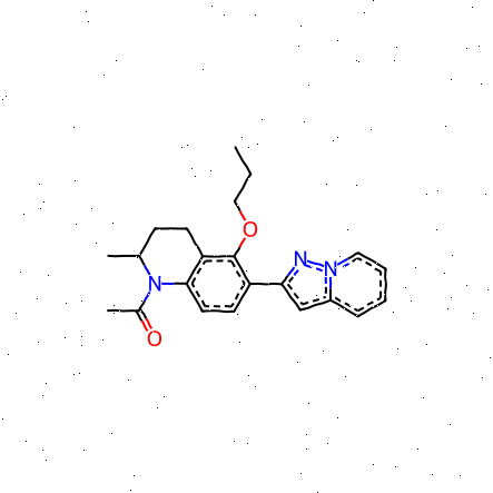 CCCOc1c(-c2cc3ccccn3n2)ccc2c1CCC(C)N2C(C)=O